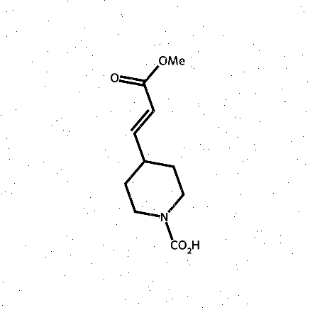 COC(=O)C=CC1CCN(C(=O)O)CC1